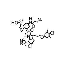 Cc1cc(OCCCc2c3n(c4c(-c5c(C)nn(C)c5C)c(Cl)ccc24)[C@H](C)CN(c2cc(NC(=O)CCN(C)C)cc4c(C(=O)O)cn(C)c24)C3=O)cc(C)c1Cl